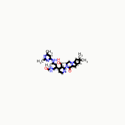 C/C(=C\C(=C/NC=O)c1ccnc(N2CCn3c(cc4c3CC(C)(C)C4)C2=O)c1CO)Nc1cc(C)nc(C)n1